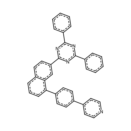 c1ccc(-c2nc(-c3ccccc3)nc(-c3ccc4cccc(-c5ccc(-c6ccncc6)cc5)c4c3)n2)cc1